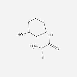 C[C@H](N)C(=O)O.OC1CCCCC1